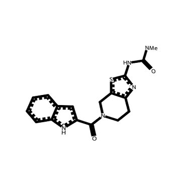 CNC(=O)Nc1nc2c(s1)CN(C(=O)c1cc3ccccc3[nH]1)CC2